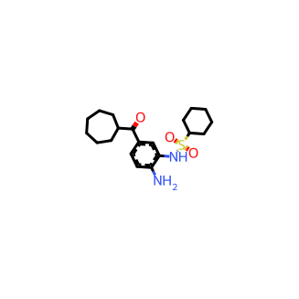 Nc1ccc(C(=O)C2CCCCCC2)cc1NS(=O)(=O)C1CCCCC1